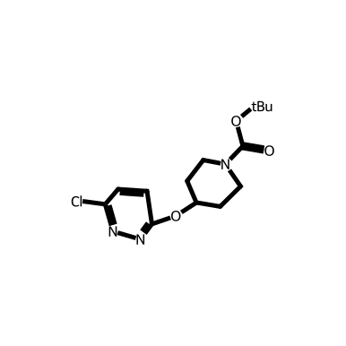 CC(C)(C)OC(=O)N1CCC(Oc2ccc(Cl)nn2)CC1